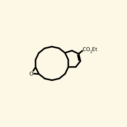 CCOC(=O)C1=CCC2CCCCC3OC3CCCCCC(C1)C2